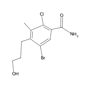 Cc1c(Cl)c(C(N)=O)cc(Br)c1CCCO